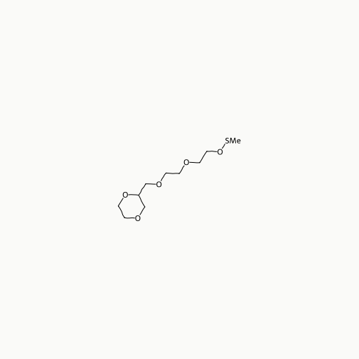 CSOCCOCCOCC1COCCO1